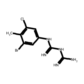 Cc1c(Cl)cc(NC(=N)NC(=N)N)cc1Br